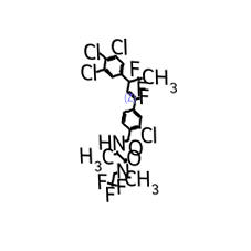 CC(NC(=O)c1ccc(/C(F)=C/C(c2cc(Cl)c(Cl)c(Cl)c2)C(C)(F)F)cc1Cl)C(=O)N(C)CC(F)(F)F